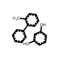 Cc1ccccc1-c1ccccc1.Oc1cccc(O)c1